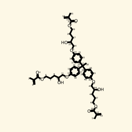 C=C(C)C(=O)OC[CH]CC(O)COc1ccc(C(C)(c2ccc(OCC(O)C[CH]COC(=O)C(=C)C)cc2)c2ccc(OCC(O)C[CH]COC(=O)C(=C)C)cc2)cc1